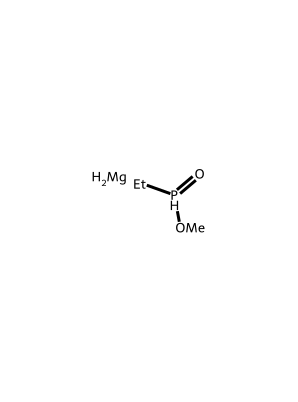 CC[PH](=O)OC.[MgH2]